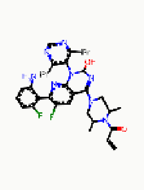 C=CC(=O)N1C(C)CN(C2=NC(O)N(c3c(C(C)C)ncnc3C(C)C)c3nc(-c4c(N)cccc4F)c(F)cc32)CC1C